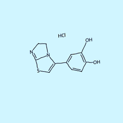 Cl.Oc1ccc(C2=CSC3=NCCN23)cc1O